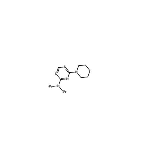 CC(C)N(c1ncnc(N2CCCCC2)n1)C(C)C